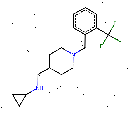 FC(F)(F)c1ccccc1CN1CCC(CNC2CC2)CC1